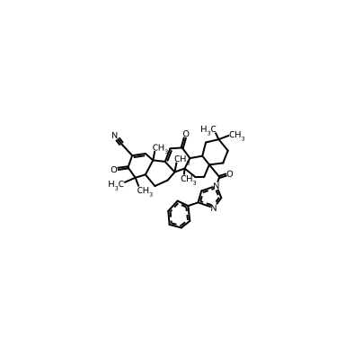 CC1(C)CCC2(C(=O)n3cnc(-c4ccccc4)c3)CCC3(C)C(C(=O)C=C4C5(C)C=C(C#N)C(=O)C(C)(C)C5CCC43C)C2C1